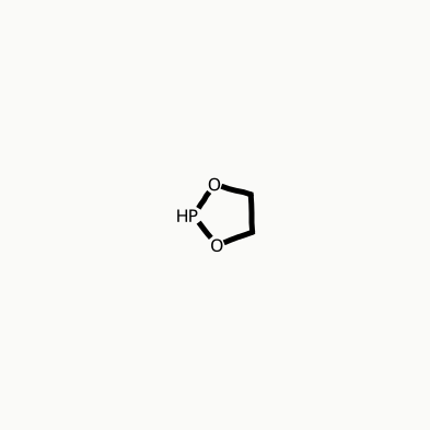 C1COPO1